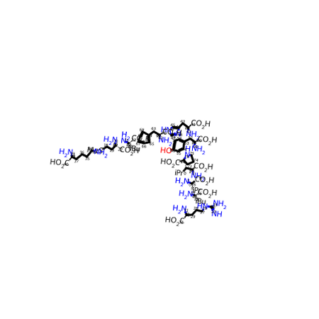 CC(C)C[C@H](N)C(=O)O.CC(C)[C@H](N)C(=O)O.CC[C@H](C)[C@H](N)C(=O)O.CC[C@H](C)[C@H](N)C(=O)O.CSCC[C@H](N)C(=O)O.N=C(N)NCCC[C@H](N)C(=O)O.NCCCC[C@H](N)C(=O)O.N[C@@H](Cc1c[nH]cn1)C(=O)O.N[C@@H](Cc1ccc(O)cc1)C(=O)O.N[C@@H](Cc1ccccc1)C(=O)O.O=C(O)[C@@H]1CCCN1